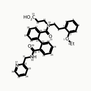 CCOc1ccccc1CCN(CCC(=O)O)C(=O)c1ccccc1-c1ccccc1C(=O)NCc1ccccn1